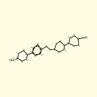 CCCC1CCC(C2CCC(CCc3ccc(C4CCC(C=O)CC4)cc3)CC2)CC1